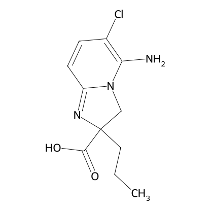 CCCC1(C(=O)O)CN2C(=N1)C=CC(Cl)=C2N